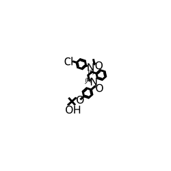 CC(=O)N(c1ccc(Cl)cc1)[C@H]1C[C@@H](C)N(C(=O)c2ccc(OCC(C)(C)CO)cc2)c2ccccc21